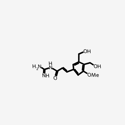 COc1cc(/C=C/C(=O)NC(=N)N)cc(CO)c1CO